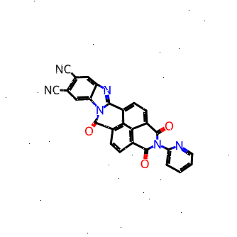 N#Cc1cc2nc3c4ccc5c6c(ccc(c(=O)n3c2cc1C#N)c64)C(=O)N(c1ccccn1)C5=O